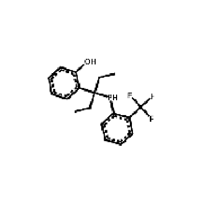 CCC(CC)(Pc1ccccc1C(F)(F)F)c1ccccc1O